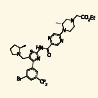 CCOC(=O)CN1CCN(c2cnc(C(=O)Nc3nc(-c4cc(Br)cc(C(F)(F)F)c4)c(CN4CCC[C@H]4C)s3)cn2)[C@H](C)C1